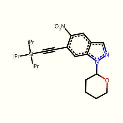 CC(C)[Si](C#Cc1cc2c(cnn2C2CCCCO2)cc1[N+](=O)[O-])(C(C)C)C(C)C